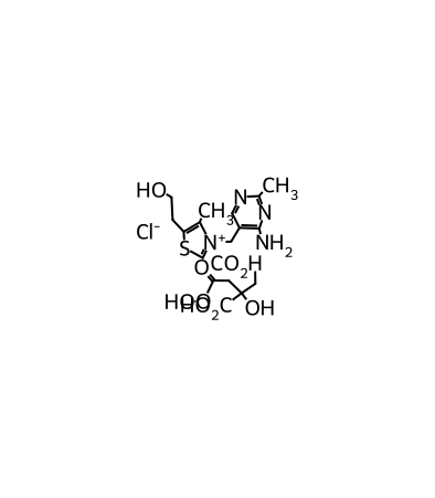 Cc1ncc(C[n+]2csc(CCO)c2C)c(N)n1.O=C(O)CC(O)(CC(=O)OO)C(=O)O.[Cl-]